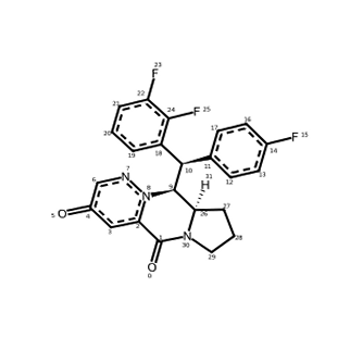 O=C1c2cc(=O)cnn2[C@@H]([C@H](c2ccc(F)cc2)c2cccc(F)c2F)[C@H]2CCCN12